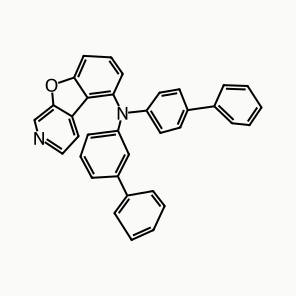 c1ccc(-c2ccc(N(c3cccc(-c4ccccc4)c3)c3cccc4oc5cnccc5c34)cc2)cc1